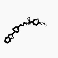 Cc1ccc(C(=O)NCCCc2ccc(-c3cc4ccccc4s3)cc2)cn1